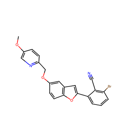 COc1ccc(COc2ccc3oc(-c4cccc(Br)c4C#N)cc3c2)nc1